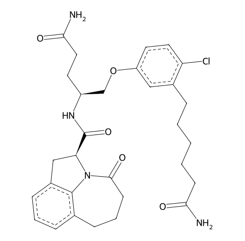 NC(=O)CCCCCc1cc(OC[C@H](CCC(N)=O)NC(=O)[C@@H]2Cc3cccc4c3N2C(=O)CCC4)ccc1Cl